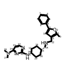 Cc1oc(-c2ccccc2)cc1CNC[C@H]1CC[C@@H](Nc2nccc(N(C)C)n2)CC1